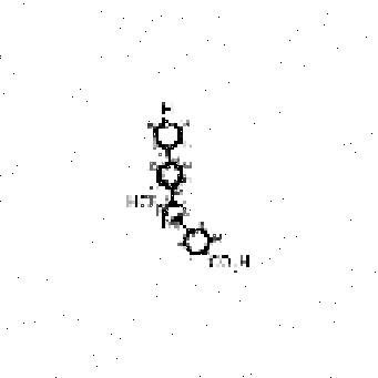 Cl.O=C(O)[C@H]1CC[C@@H](c2nnc(-c3ccc(C4CCNCC4)cc3)s2)CC1